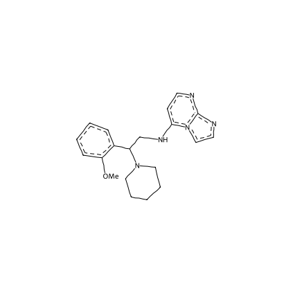 COc1ccccc1C(CNc1ccnc2nccn12)N1CCCCC1